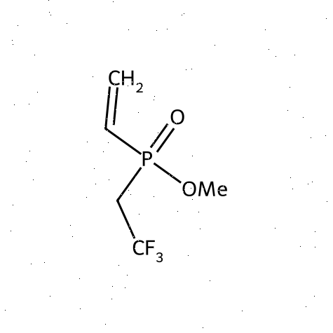 C=CP(=O)(CC(F)(F)F)OC